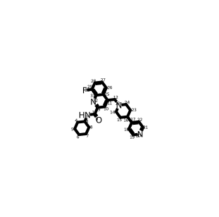 O=C(NC1CCCCC1)c1cc(CN2CCC(c3ccncc3)CC2)c2cccc(F)c2n1